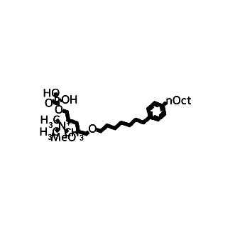 CCCCCCCCc1ccc(CCCCCCCOCC(CC(COP(=O)(O)O)[N+](C)(C)C)OC)cc1